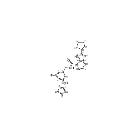 O=C(NCc1cc(F)cc(Nc2nncs2)c1)c1ncnc2nc(C3CCCC3)[nH]c12